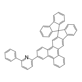 c1ccc(-c2cccc(-c3ccc4c(c3)c3ccccc3c3cc5c(cc43)C3(c4ccccc4-c4ccccc43)c3ccccc3-5)n2)cc1